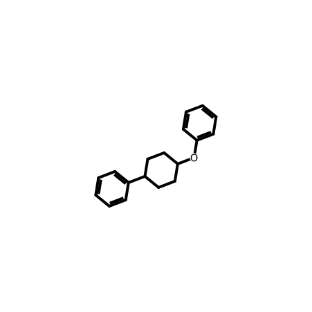 c1ccc(OC2CCC(c3ccccc3)CC2)cc1